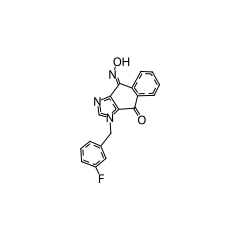 O=C1c2ccccc2/C(=N\O)c2ncn(Cc3cccc(F)c3)c21